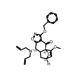 C=CCN(CC=C)[C@@H]1c2onc(OCc3ccccc3)c2C(=O)[C@]23O[C@H](C=C2OC)CC13